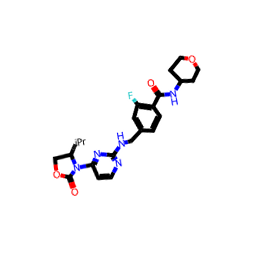 CC(C)C1COC(=O)N1c1ccnc(NCc2ccc(C(=O)NC3CCOCC3)c(F)c2)n1